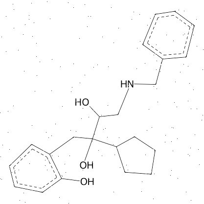 Oc1ccccc1CC(O)(C(O)CNCc1ccccc1)C1CCCC1